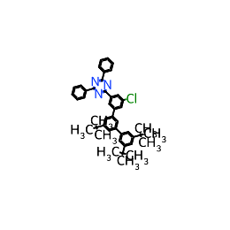 CC(C)(C)c1cc(-c2cc(Cl)cc(-c3nc(-c4ccccc4)nc(-c4ccccc4)n3)c2)cc(-c2cc(C(C)(C)C)cc(C(C)(C)C)c2)c1